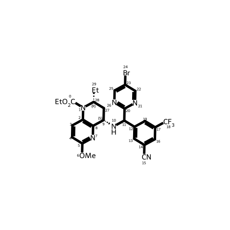 CCOC(=O)N1c2ccc(OC)nc2[C@@H](NC(c2cc(C#N)cc(C(F)(F)F)c2)c2ncc(Br)cn2)C[C@H]1CC